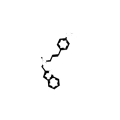 CN(C/C=C/c1ccc(C(F)(F)F)cc1)Cc1cc2ccccc2s1